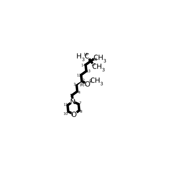 CO[C@@H](CCCN1CCOCC1)CCCC(C)(C)C